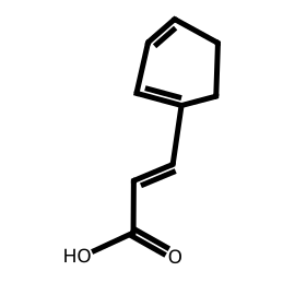 O=C(O)/C=C/C1=CC=CCC1